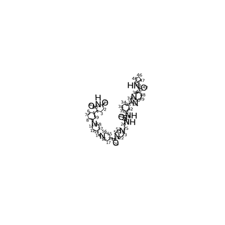 O=C1CCC(c2cccc(N3CCC(CN4CCC(C(=O)N5CCN(CCN[S+]([O-])Nc6cccc(-c7cn8cc(C(=O)NC9CCC9)ccc8n7)c6)CC5)CC4)CC3)c2)C(=O)N1